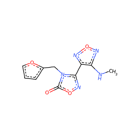 CNc1nonc1-c1noc(=O)n1Cc1ccco1